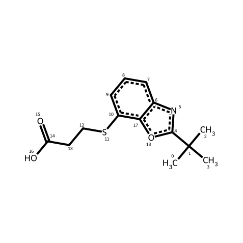 CC(C)(C)c1nc2cccc(SCCC(=O)O)c2o1